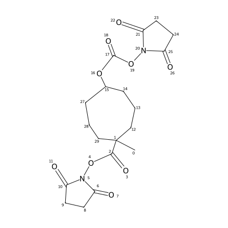 CC1(C(=O)ON2C(=O)CCC2=O)CCCC(OC(=O)ON2C(=O)CCC2=O)CCC1